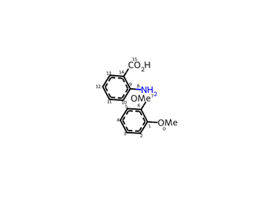 COc1ccccc1OC.Nc1ccccc1C(=O)O